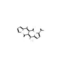 Cc1c2c(=O)n3c(C(=O)C(F)(F)F)ccc3c(C)c2c(=O)n2cccc12